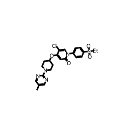 CCS(=O)(=O)c1ccc(-n2cc(Cl)c(OC3CCN(c4ncc(C)cn4)CC3)cc2=O)cc1